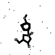 COc1ccc([N+]2([O-])CC(Cl)C(CCl)C2)cc1